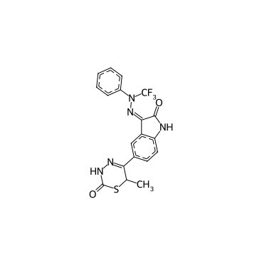 CC1SC(=O)NN=C1c1ccc2c(c1)C(=NN(c1ccccc1)C(F)(F)F)C(=O)N2